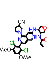 C=CC(=O)N[C@H]1COC[C@H]1Nc1cc2c(N3CCC(C#N)C3)nc(-c3c(Cl)c(OC)cc(OC)c3Cl)cc2cn1